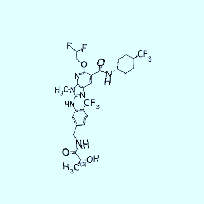 C[C@H](O)C(=O)NCc1ccc(C(F)(F)F)c(Nc2nc3cc(C(=O)N[C@H]4CC[C@H](C(F)(F)F)CC4)c(OCC(F)F)nc3n2C)c1